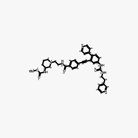 CC(C)(C)OC(=O)NC1CCCN(CCNC(=O)c2ccc(C#Cc3cc(NC(=O)NCCc4cccnc4)ccc3-c3ccncc3)cc2)C1